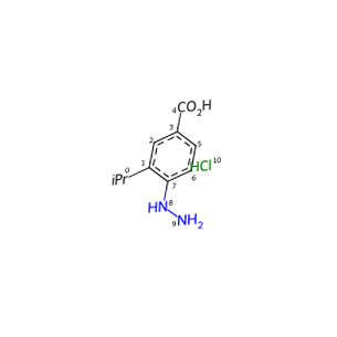 CC(C)c1cc(C(=O)O)ccc1NN.Cl